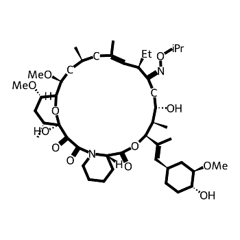 CC[C@@H]1/C=C(\C)C[C@H](C)C[C@H](OC)[C@H]2O[C@@](O)(C(=O)C(=O)N3CCCC[C@H]3C(=O)O[C@H](/C(C)=C/[C@@H]3CC[C@@H](O)[C@H](OC)C3)[C@H](C)[C@@H](O)C/C1=N/OC(C)C)[C@H](C)C[C@@H]2OC